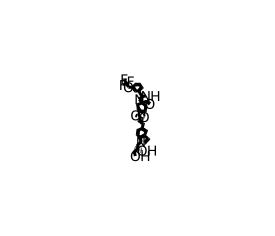 O=C1NC(c2cccc(OC(F)(F)F)c2)=NC12CCN(S(=O)(=O)CCc1ccc3c(ccn3C[C@H](O)CO)c1)CC2